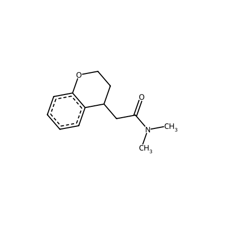 CN(C)C(=O)CC1CCOc2ccccc21